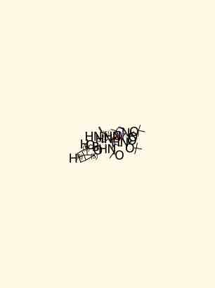 C=C(NC(CCCN/C(=N/C(=O)OC(C)(C)C)NC(=O)OC(C)(C)C)B1O[C@H]2C3C[C@@H]4CC5C34C2[C@@]5(C)O1)[C@H](Cc1ccccc1)NC(=O)C(C)NC(C)=O